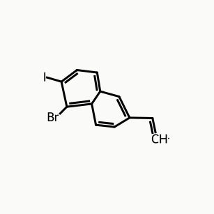 [CH]=Cc1ccc2c(Br)c(I)ccc2c1